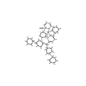 C1=CC2[C@@H](C=C1)c1ccccc1C21c2ccccc2C2=CC=C(N(c3ccc(-c4ccccc4)cc3)c3ccc(-c4ccccc4)cc3)CC21